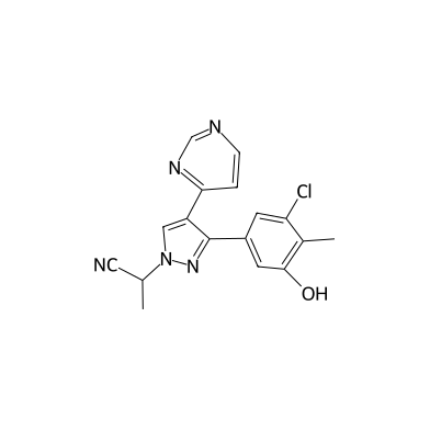 Cc1c(O)cc(-c2nn(C(C)C#N)cc2-c2ccncn2)cc1Cl